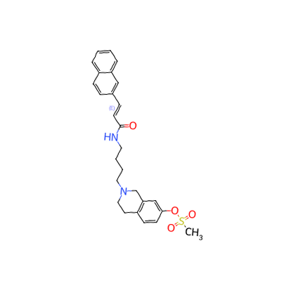 CS(=O)(=O)Oc1ccc2c(c1)CN(CCCCNC(=O)/C=C/c1ccc3ccccc3c1)CC2